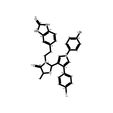 CC1OC(c2cn(-c3ccc(Br)cc3)cc2-c2ccc(F)cc2)N(CCc2ccc3[nH]c(=O)[nH]c3c2)C1=O